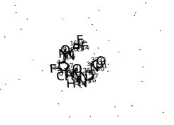 Cc1c(F)cc(-c2noc(C3CC(F)(F)C3)n2)cc1NC(=O)c1cnc2ccc(N3CCOCC3)cn12